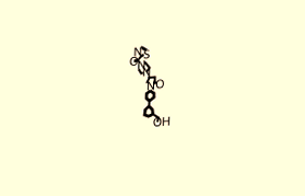 O=C(c1nccs1)N1CCN(C2CC(=O)N(c3ccc(-c4cccc(CO)c4)cc3)C2)CC1